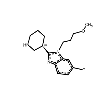 COCCCn1c([C@@H]2CCCNC2)nc2ccc(F)cc21